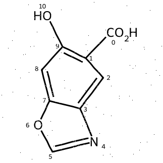 O=C(O)c1cc2ncoc2cc1O